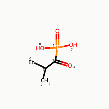 CCC(C)C(=O)P(=O)(O)O